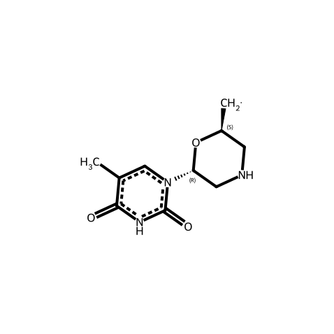 [CH2][C@H]1CNC[C@H](n2cc(C)c(=O)[nH]c2=O)O1